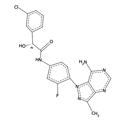 Cc1nn(-c2ccc(NC(=O)[C@H](O)c3cccc(Cl)c3)cc2F)c2c(N)ncnc12